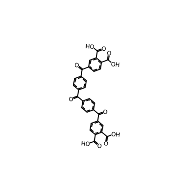 O=C(c1ccc(C(=O)c2ccc(C(=O)O)c(C(=O)O)c2)cc1)c1ccc(C(=O)c2ccc(C(=O)O)c(C(=O)O)c2)cc1